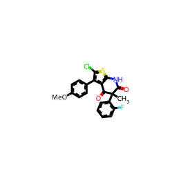 COc1ccc(-c2c(Cl)sc3c2C(=O)C(C)(c2ccccc2F)C(=O)N3)cc1